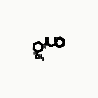 C[C@H]1CCC[C@H](NCc2ccccn2)C1